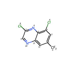 FC(F)(F)c1cc(Cl)c2nc(Cl)cnc2c1